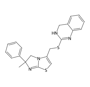 CC1(c2ccccc2)CN2C(CSC3=Nc4ccccc4CN3)=CSC2=N1